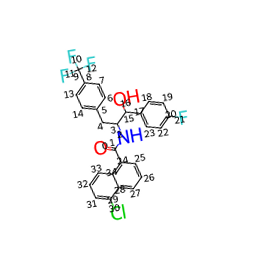 O=C(NC(Cc1ccc(C(F)(F)F)cc1)C(O)c1ccc(F)cc1)c1cccc2c(Cl)cccc12